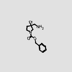 CCC1(CN)CCN(C(=O)OCc2ccccc2)C1